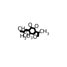 C/C=C(C)\C=C1\C(=O)C(=O)c2c(C)coc2C1C